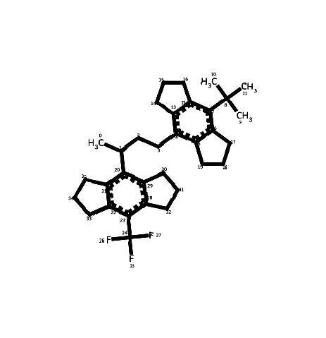 CC(CCc1c2c(c(C(C)(C)C)c3c1CCC3)CCC2)c1c2c(c(C(F)(F)F)c3c1CCC3)CCC2